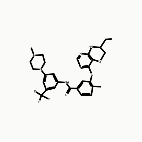 CCC1COc2c(ncnc2Oc2cc(C(=O)Nc3cc(N4CCN(C)CC4)cc(C(F)(F)F)c3)ccc2C)N1